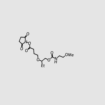 CCC(COC(=O)NCCOC)OCCCC(=O)ON1C(=O)CCC1=O